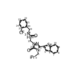 CC(C)Cn1c(-c2cc3ccccc3s2)nn(CC(=O)NCc2ccccc2C(F)(F)F)c1=O